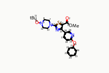 COC(=O)c1sc(N2CCN(OC(C)(C)C)CC2)nc1-c1ccc(Oc2ccccc2)nc1